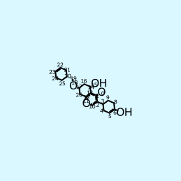 O=c1c(C2CC=C(O)CC2)coc2c1[C@@H](O)CC(OC[C@H]1CC=CCC1)C2